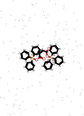 O=C(/C=C\C(=O)OS(c1ccccc1)(c1ccccc1)c1ccccc1)OS(c1ccccc1)(c1ccccc1)c1ccccc1